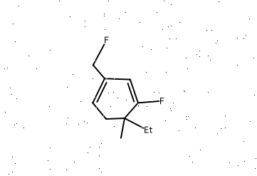 CCC1(C)CC=C(CF)C=C1F